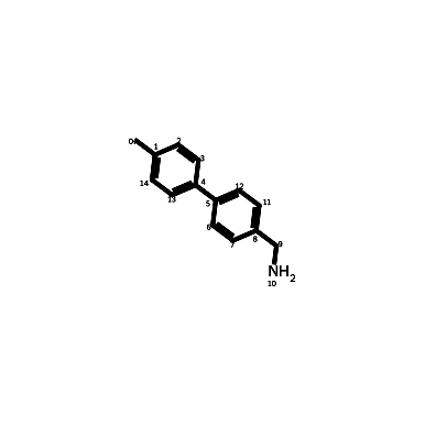 [CH2]c1ccc(-c2ccc(CN)cc2)cc1